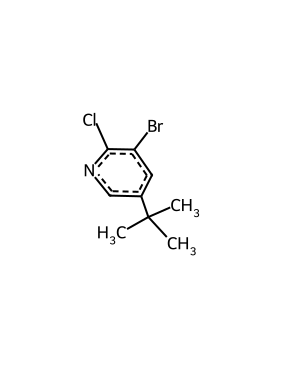 CC(C)(C)c1cnc(Cl)c(Br)c1